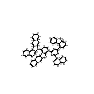 c1ccc2cc3c(cc2c1)oc1c(-c2nc(-c4cccc5ccccc45)nc(-c4cccc5sc6ccccc6c45)n2)ccc(-n2c4cc5ccccc5cc4c4c5ccccc5ccc42)c13